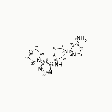 Nc1ccnc(N2CCC[C@@H](Nc3cc(N4CCOCC4)ncn3)C2)c1